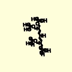 O=[PH](O)OCN(CCNCCN(COP(O)O)COP(O)O)CO[PH](=O)O